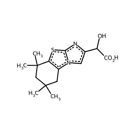 CC1(C)Cc2c(sc3nc(C(O)C(=O)O)cn23)C(C)(C)C1